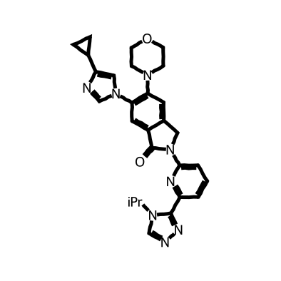 CC(C)n1cnnc1-c1cccc(N2Cc3cc(N4CCOCC4)c(-n4cnc(C5CC5)c4)cc3C2=O)n1